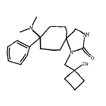 CN(C)C1(c2ccccc2)CCC2(CC1)CNC(=O)N2CC1(C#N)CCC1